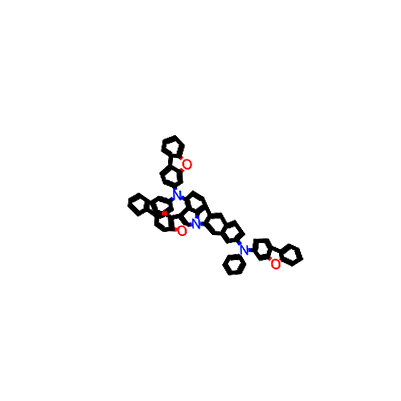 c1ccc(-c2ccc3oc4c(c3c2)c2c(N(c3ccccc3)c3ccc5c(c3)oc3ccccc35)ccc3c5cc6ccc(N(c7ccccc7)c7ccc8c(c7)oc7ccccc78)cc6cc5n4c32)cc1